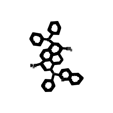 CC1=CC(N(c2ccccc2)c2ccc3ccccc3n2)C2=CCc3c(C)cc(N(c4ccccc4)c4ccccc4)c4ccc1c2c34